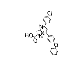 O=C(O)C1=NN2C(c3ccc(Oc4ccccc4)cc3)=CC(c3ccc(Cl)cc3)=NC2C1